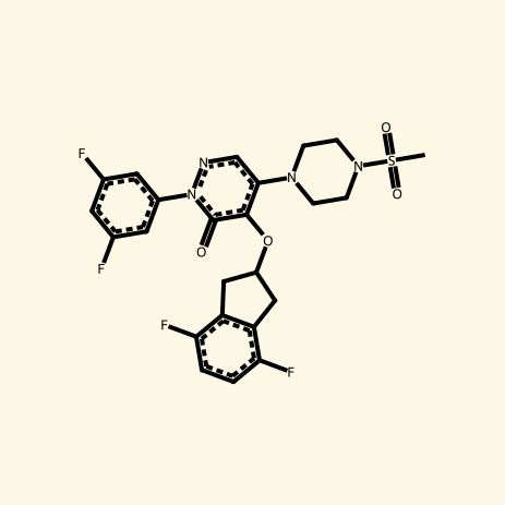 CS(=O)(=O)N1CCN(c2cnn(-c3cc(F)cc(F)c3)c(=O)c2OC2Cc3c(F)ccc(F)c3C2)CC1